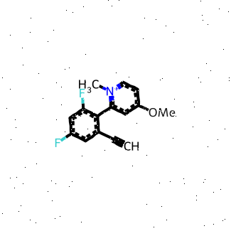 C#Cc1cc(F)cc(F)c1-c1cc(OC)cc[n+]1C